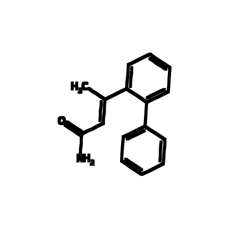 CC(=CC(N)=O)c1ccccc1-c1ccccc1